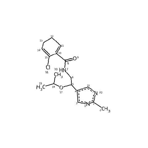 Cc1ncc(C(CNC(=O)C2=CCCC=C2Cl)OC(C)C)cn1